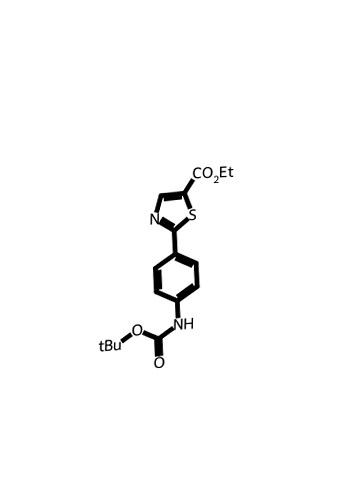 CCOC(=O)c1cnc(-c2ccc(NC(=O)OC(C)(C)C)cc2)s1